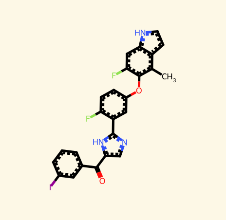 Cc1c(Oc2ccc(F)c(-c3ncc(C(=O)c4cccc(I)c4)[nH]3)c2)c(F)cc2[nH]ccc12